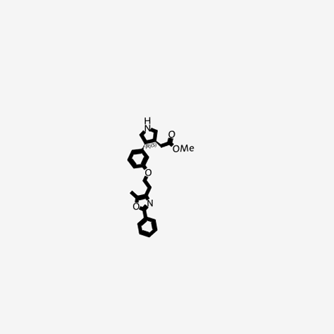 COC(=O)C[C@@H]1CNC[C@H]1c1cccc(OCCc2nc(-c3ccccc3)oc2C)c1